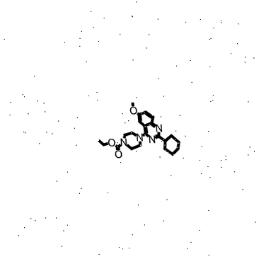 CCOC(=O)N1CCN(c2nc(C3CCCCC3)nc3ccc(OC)cc23)CC1